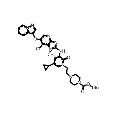 Cn1c(Nc2cc(C3CC3)cn(CCN3CCN(C(=O)OC(C)(C)C)CC3)c2=O)nc2ncc(Oc3cnn4ccccc34)c(Cl)c21